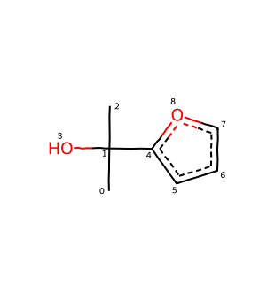 CC(C)(O)c1ccco1